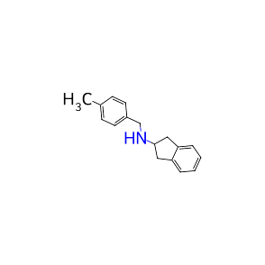 Cc1ccc(CNC2Cc3ccccc3C2)cc1